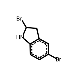 Brc1ccc2c(c1)CC(Br)N2